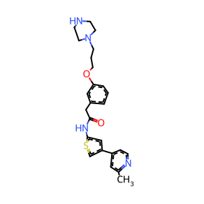 Cc1cc(-c2csc(NC(=O)Cc3cccc(OCCCN4CCNCC4)c3)c2)ccn1